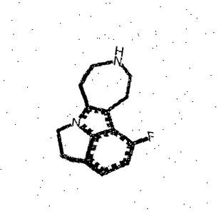 Fc1ccc2c3c1c1c(n3CC2)CCNCC1